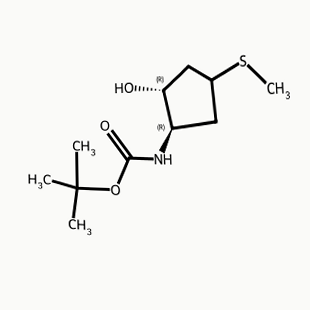 CSC1C[C@@H](O)[C@H](NC(=O)OC(C)(C)C)C1